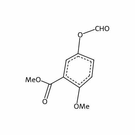 COC(=O)c1cc(OC=O)ccc1OC